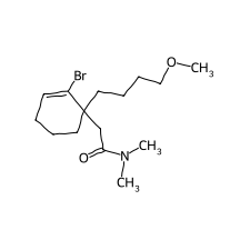 COCCCCC1(CC(=O)N(C)C)CCCC=C1Br